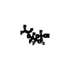 N#CC(F)(F)OC(F)(C(F)(F)F)C(F)(F)OC(F)=C(F)F